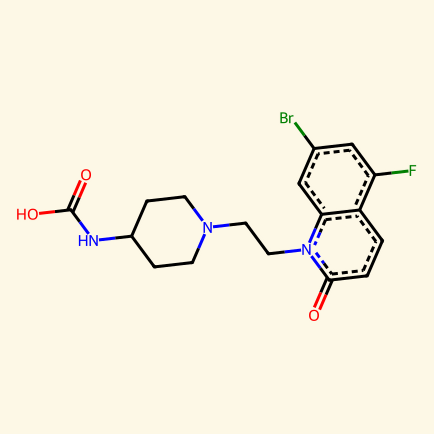 O=C(O)NC1CCN(CCn2c(=O)ccc3c(F)cc(Br)cc32)CC1